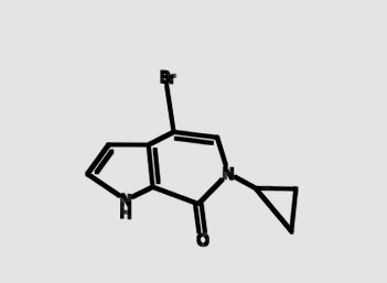 O=c1c2[nH]ccc2c(Br)cn1C1CC1